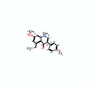 CCc1cc(OC)cc2c1c(=O)c(-c1ccc(OC)cc1)cn2C